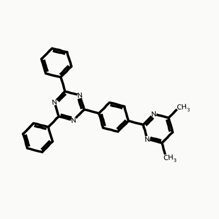 Cc1cc(C)nc(-c2ccc(-c3nc(-c4ccccc4)nc(-c4ccccc4)n3)cc2)n1